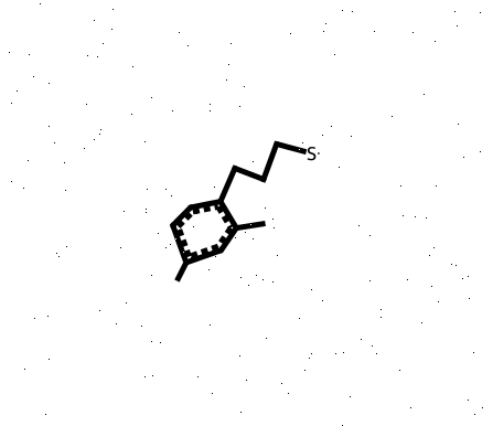 Cc1ccc(CCC[S])c(C)c1